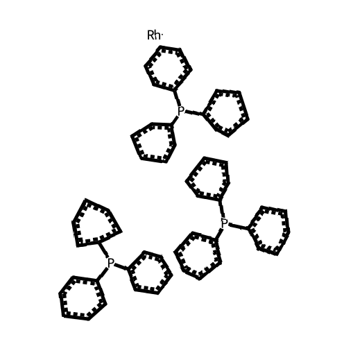 [Rh].c1ccc(P(c2ccccc2)c2ccccc2)cc1.c1ccc(P(c2ccccc2)c2ccccc2)cc1.c1ccc(P(c2ccccc2)c2ccccc2)cc1